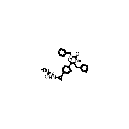 CN(C(=O)OCc1ccccc1)C(Cc1ccccc1)C(=O)c1ccc(C2CC2NOC(=O)C(C)(C)C)cc1